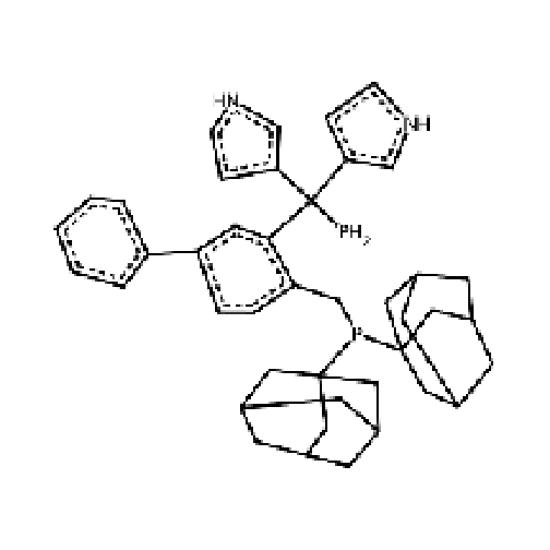 PC(c1cc[nH]c1)(c1cc[nH]c1)c1cc(-c2ccccc2)ccc1CP(C12CC3CC(CC(C3)C1)C2)C12CC3CC(CC(C3)C1)C2